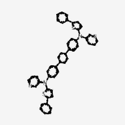 c1ccc(-c2ccc(N(c3ccc(-c4ccc(-c5ccc(N(c6cccnc6)c6ccc(-c7ccccc7)s6)cc5)cc4)cc3)c3cccnc3)s2)cc1